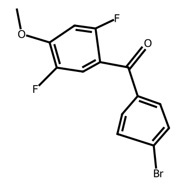 COc1cc(F)c(C(=O)c2ccc(Br)cc2)cc1F